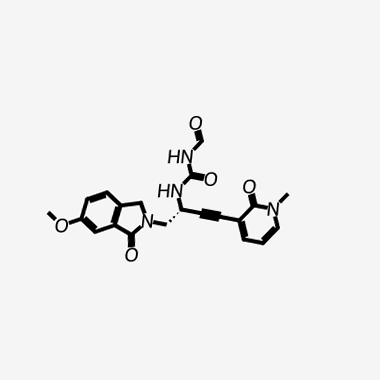 COc1ccc2c(c1)C(=O)N(C[C@@H](C#Cc1cccn(C)c1=O)NC(=O)NC=O)C2